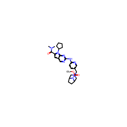 CN(C)C(=O)c1cc2cnc(Nc3ccc(CN4CC5CCC(C4)N5C(=O)OC(C)(C)C)cn3)nc2n1C1CCCC1